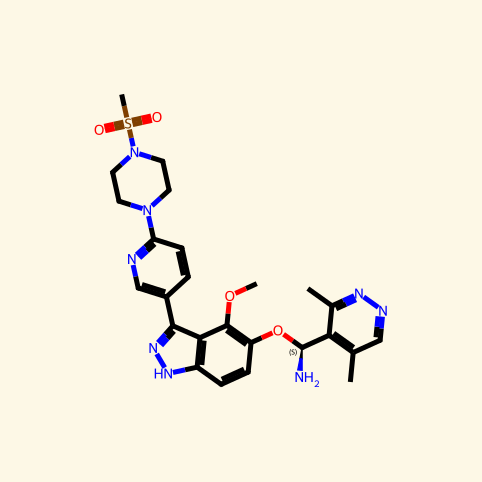 COc1c(O[C@H](N)c2c(C)cnnc2C)ccc2[nH]nc(-c3ccc(N4CCN(S(C)(=O)=O)CC4)nc3)c12